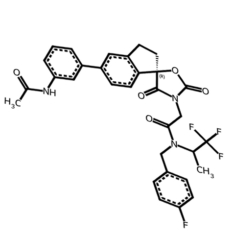 CC(=O)Nc1cccc(-c2ccc3c(c2)CC[C@@]32OC(=O)N(CC(=O)N(Cc3ccc(F)cc3)C(C)C(F)(F)F)C2=O)c1